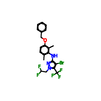 Cc1ccc(OCc2ccccc2)c(C)c1Nc1nn(CC(F)F)c(C(F)(F)F)c1Br